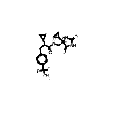 CC(F)(F)c1ccc(CC(C(=O)NC[C@@]2(C3CC3)NC(=O)NC2=O)C2CC2)cc1